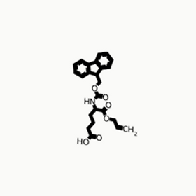 C=CCOC(=O)C(CCCC(=O)O)NC(=O)OCC1c2ccccc2-c2ccccc21